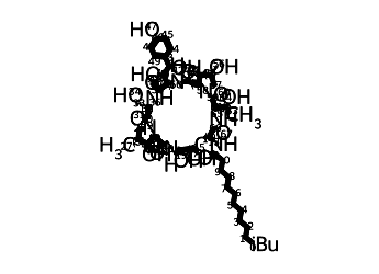 CCC(C)CCCCCCCCCCC(=O)N[C@H]1C[C@@H](O)[C@@H](O)NC(=O)[C@@H]2[C@@H](O)[C@@H](C)CN2C(=O)[C@H](CO)NC(=O)[C@H]([C@H](O)C(O)c2ccc(O)cc2)NC(=O)[C@@H]2C[C@@H](O)CN2C(=O)[C@H]([C@@H](C)O)NC1=O